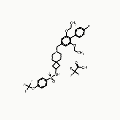 CCOc1cc(CN2CCC3(CC2)CC(NS(=O)(=O)c2ccc(OC(F)(F)F)cc2)C3)cc(OCC)c1-c1ccc(F)cc1.O=C(O)C(F)(F)F